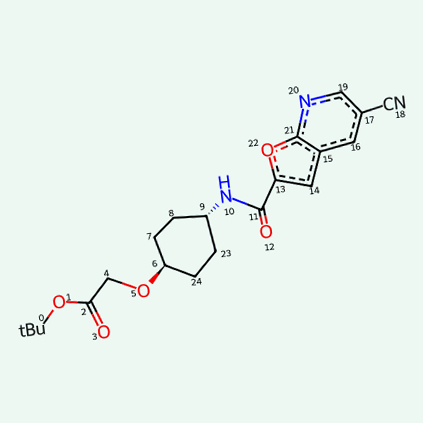 CC(C)(C)OC(=O)CO[C@H]1CC[C@H](NC(=O)c2cc3cc(C#N)cnc3o2)CC1